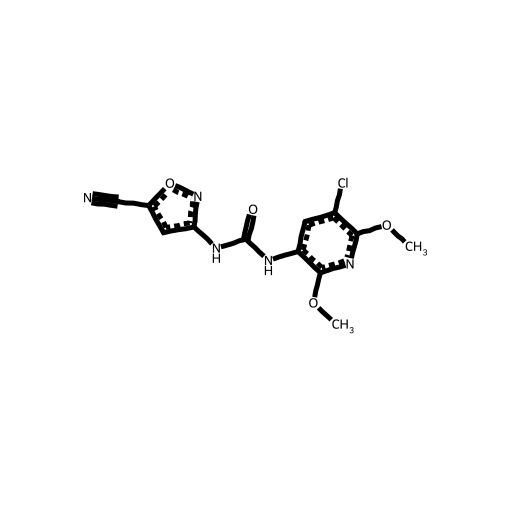 COc1nc(OC)c(NC(=O)Nc2cc(C#N)on2)cc1Cl